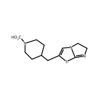 O=C(O)N1CCC(CC2=CN3CCN=C3S2)CC1